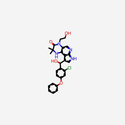 CC1(C)Nc2c(cnc3[nH]cc(C(O)c4ccc(Oc5ccccc5)cc4Cl)c23)N(CCO)C1=O